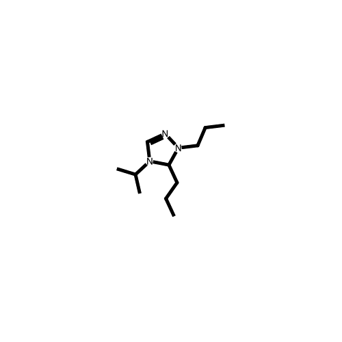 CCCC1N(CCC)N=CN1C(C)C